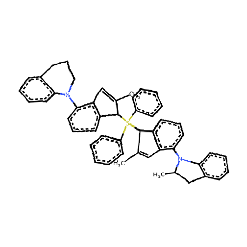 CC1=Cc2c(cccc2N2CCCc3ccccc32)C1S(c1ccccc1)(c1ccccc1)C1C(C)=Cc2c1cccc2N1c2ccccc2CC1C